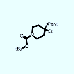 CCCCCC1(CC)CCN(C(=O)OC(C)(C)C)CC1